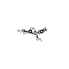 CCCC[C@@H]1CN(Cc2cc(C)cc(OCC(=O)OC)c2)CCN1c1nc2ccc(OC(F)(F)F)cc2s1